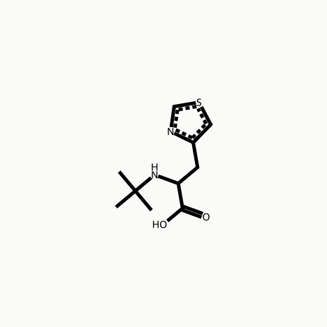 CC(C)(C)NC(Cc1cscn1)C(=O)O